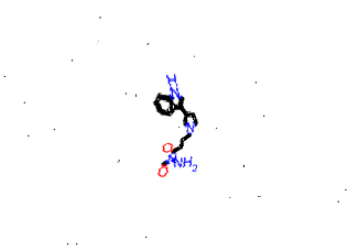 NN(C=O)C(=O)CCCN1CCC(c2c[nH]c3ccccc23)C1